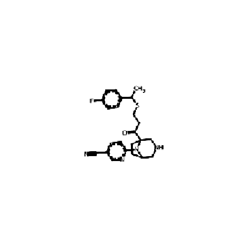 CC(SCCC(=O)C12CCC(CNC1)N2c1ccc(C#N)cn1)c1ccc(F)cc1